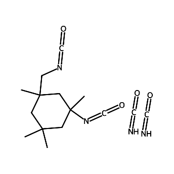 CC1(C)CC(C)(CN=C=O)CC(C)(N=C=O)C1.N=C=O.N=C=O